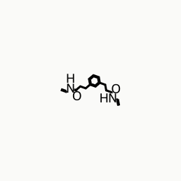 C=CNC(=O)CCc1cccc(CCC(=O)NC=C)c1